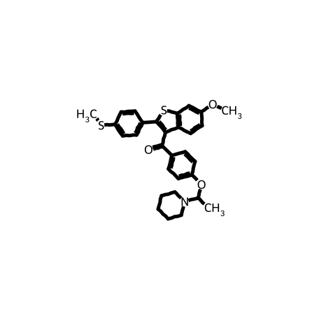 COc1ccc2c(C(=O)c3ccc(OC(C)N4CCCCC4)cc3)c(-c3ccc(SC)cc3)sc2c1